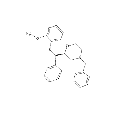 COc1ccccc1SC(c1ccccc1)[C@@H]1CN(Cc2ccccc2)CCO1